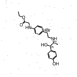 Br.CCOC(=O)CNc1ccc(CCN[C@@H](C)[C@H](O)c2ccc(O)cc2)cc1